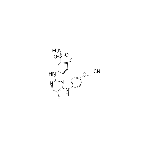 N#CCOc1ccc(Nc2nc(Nc3ccc(Cl)c(S(N)(=O)=O)c3)ncc2F)cc1